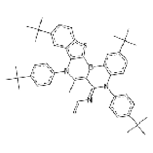 C=C/N=C1\C2=C(C)N(c3ccc(C(C)(C)C)cc3)c3c(sc4ccc(C(C)(C)C)cc34)B2c2cc(C(C)(C)C)ccc2N1c1ccc(C(C)(C)C)cc1